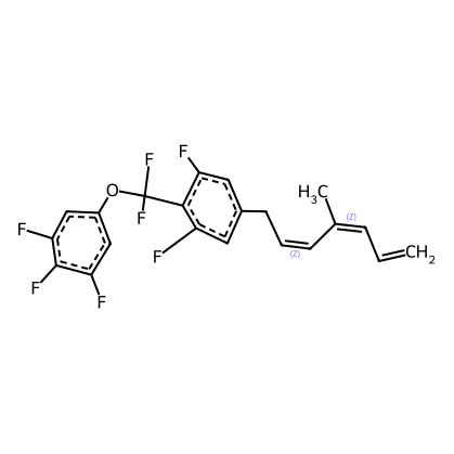 C=C/C=C(C)\C=C/Cc1cc(F)c(C(F)(F)Oc2cc(F)c(F)c(F)c2)c(F)c1